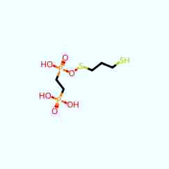 O=P(O)(O)CCP(=O)(O)OSCCCS